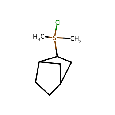 CS(C)(Cl)C1CC2CCC1C2